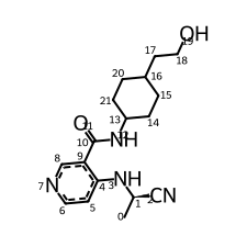 C[C@H](C#N)Nc1ccncc1C(=O)NC1CCC(CCO)CC1